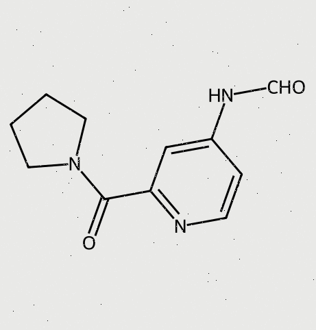 O=CNc1ccnc(C(=O)N2CCCC2)c1